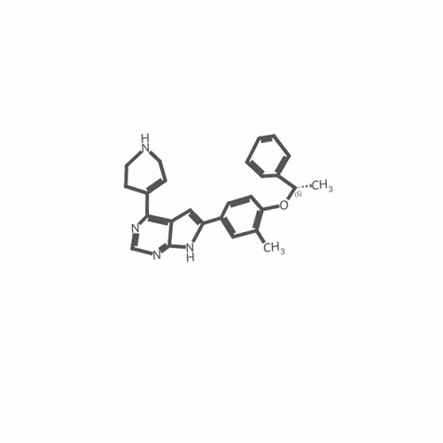 Cc1cc(-c2cc3c(C4=CCNCC4)ncnc3[nH]2)ccc1O[C@@H](C)c1ccccc1